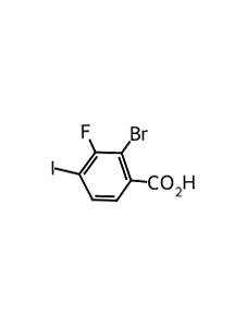 O=C(O)c1ccc(I)c(F)c1Br